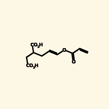 C=CC(=O)OC=CCC(CC(=O)O)C(=O)O